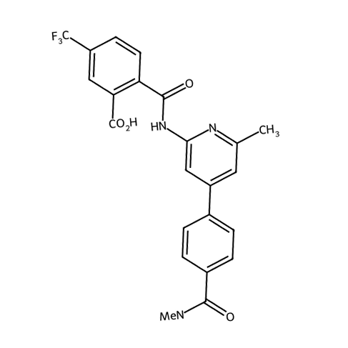 CNC(=O)c1ccc(-c2cc(C)nc(NC(=O)c3ccc(C(F)(F)F)cc3C(=O)O)c2)cc1